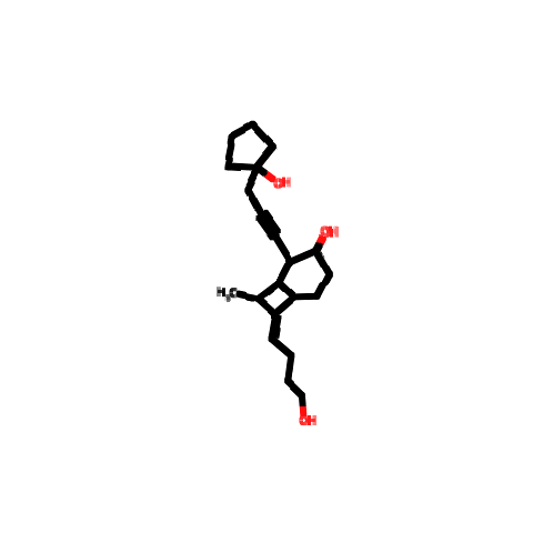 CC1/C(=C/CCCO)C2CCC(O)C(C#CCC3(O)CCCC3)C12